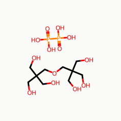 O=P(O)(O)P(=O)(O)O.OCC(CO)(CO)COCC(CO)(CO)CO